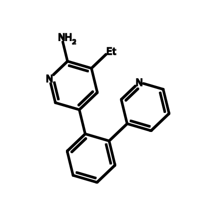 CCc1cc(-c2ccccc2-c2cccnc2)cnc1N